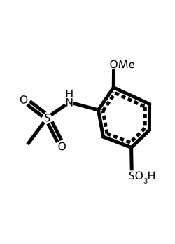 COc1ccc(S(=O)(=O)O)cc1NS(C)(=O)=O